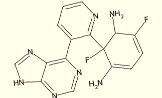 NC1=CC=C(F)C(N)C1(F)c1ncccc1-c1ncnc2[nH]cnc12